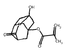 C=C(C)C(=O)OC12CC3CC(C1)C(=O)OC(O)(C3)C2